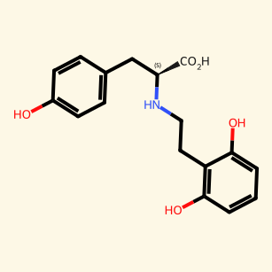 O=C(O)[C@H](Cc1ccc(O)cc1)NCCc1c(O)cccc1O